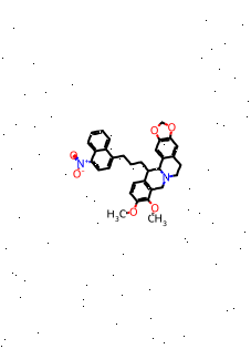 COc1ccc2c(c1OC)CN1CCc3cc4c(cc3C1C2CCCc1ccc([N+](=O)[O-])c2ccccc12)OCO4